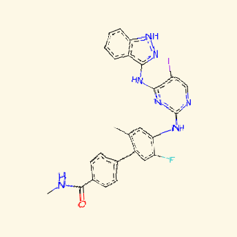 CNC(=O)c1ccc(-c2cc(F)c(Nc3ncc(I)c(Nc4n[nH]c5ccccc45)n3)cc2C)cc1